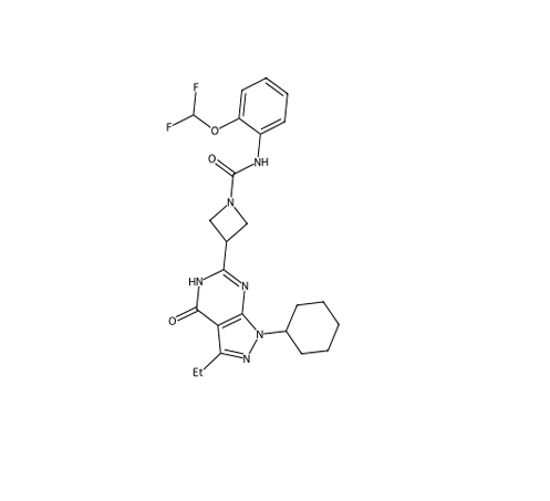 CCc1nn(C2CCCCC2)c2nc(C3CN(C(=O)Nc4ccccc4OC(F)F)C3)[nH]c(=O)c12